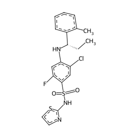 CC[C@H](Nc1cc(F)c(S(=O)(=O)Nc2nccs2)cc1Cl)c1ccccc1C